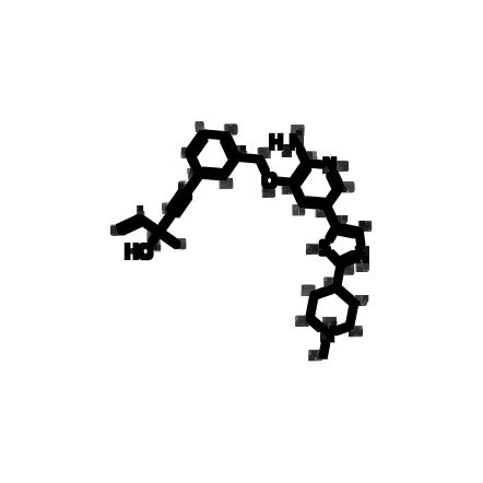 C=CC(C)(O)C#Cc1cccc(COc2cc(-c3cnc(C4CCN(C)CC4)s3)cnc2N)c1